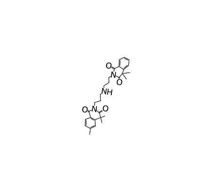 Cc1ccc2c(c1)C(C)(C)C(=O)N(CCCNCCCN1C(=O)c3ccccc3C(C)(C)C1=O)C2=O